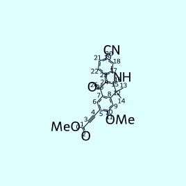 COC(=O)C#Cc1cc2c(cc1OC)C(C)(C)c1[nH]c3cc(C#N)ccc3c1C2=O